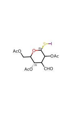 CC(=O)OCC1O[C@@H](SI)C(OC(C)=O)C(C=O)[C@@H]1OC(C)=O